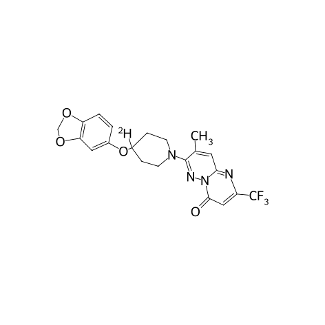 [2H]C1(Oc2ccc3c(c2)OCO3)CCN(c2nn3c(=O)cc(C(F)(F)F)nc3cc2C)CC1